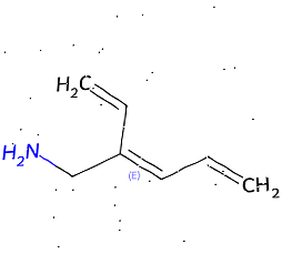 C=C/C=C(\C=C)CN